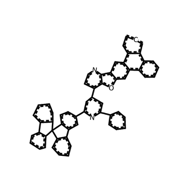 c1ccc(-c2cc(-c3ccnc4c3oc3cc5c6ccccc6c6ccccc6c5cc34)cc(-c3ccc4c(c3)-c3ccccc3C43c4ccccc4-c4ccccc43)n2)cc1